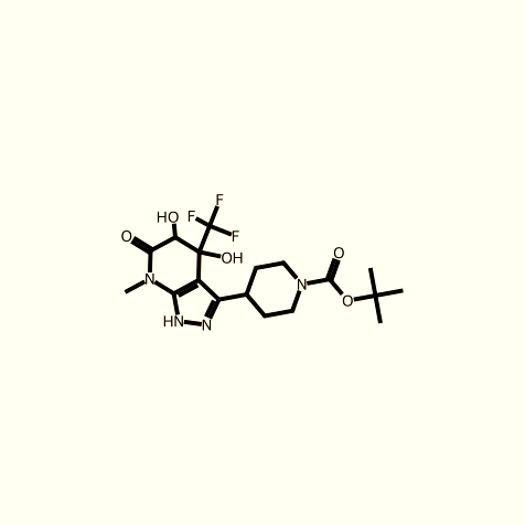 CN1C(=O)C(O)C(O)(C(F)(F)F)c2c(C3CCN(C(=O)OC(C)(C)C)CC3)n[nH]c21